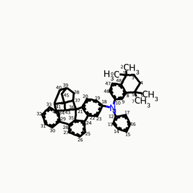 CC1(C)CCC(C)(C)c2cc(N(c3ccccc3)c3ccc4c(c3)-c3cccc(-c5ccccc5)c3C43C4CC5CC6CC3C64C5)ccc21